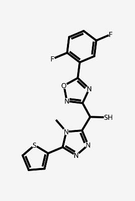 Cn1c(-c2cccs2)nnc1C(S)c1noc(-c2cc(F)ccc2F)n1